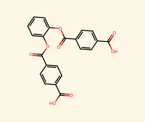 O=C(O)c1ccc(C(=O)Oc2ccccc2OC(=O)c2ccc(C(=O)O)cc2)cc1